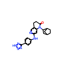 O=C1CCc2cnc(Nc3ccc(-c4nn[nH]n4)cc3)cc2N1C1CC2CCC1C2